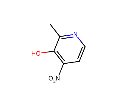 Cc1nccc([N+](=O)[O-])c1O